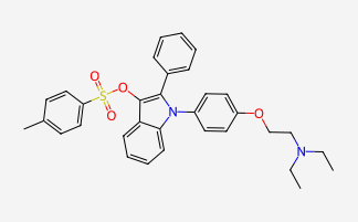 CCN(CC)CCOc1ccc(-n2c(-c3ccccc3)c(OS(=O)(=O)c3ccc(C)cc3)c3ccccc32)cc1